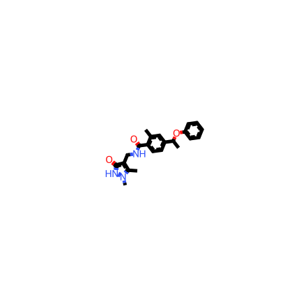 Cc1cc(C(C)Oc2ccccc2)ccc1C(=O)NCc1c(C)n(C)[nH]c1=O